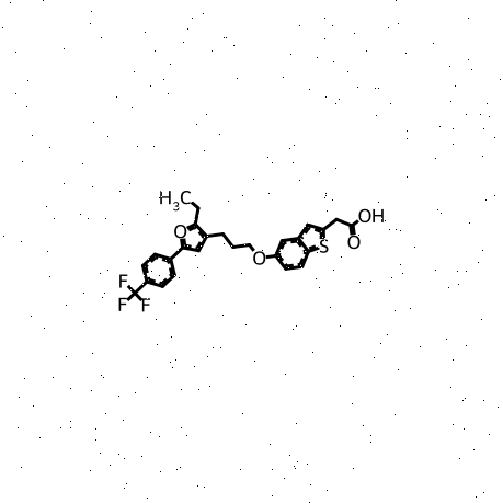 CCc1oc(-c2ccc(C(F)(F)F)cc2)cc1CCCOc1ccc2sc(CC(=O)O)cc2c1